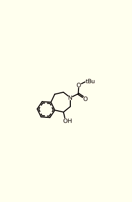 CC(C)(C)OC(=O)N1CCc2ccccc2C(O)C1